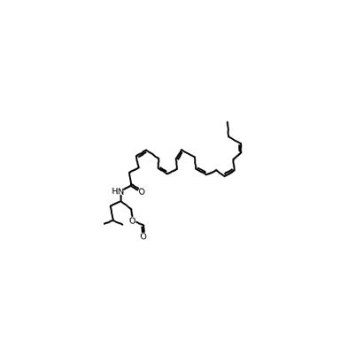 CC/C=C\C/C=C\C/C=C\C/C=C\C/C=C\C/C=C\CCC(=O)NC(COC=O)CC(C)C